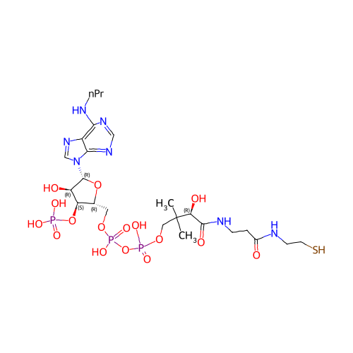 CCCNc1ncnc2c1ncn2[C@@H]1O[C@H](COP(=O)(O)OP(=O)(O)OCC(C)(C)[C@@H](O)C(=O)NCCC(=O)NCCS)[C@@H](OP(=O)(O)O)[C@H]1O